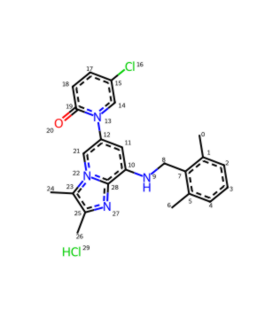 Cc1cccc(C)c1CNc1cc(-n2cc(Cl)ccc2=O)cn2c(C)c(C)nc12.Cl